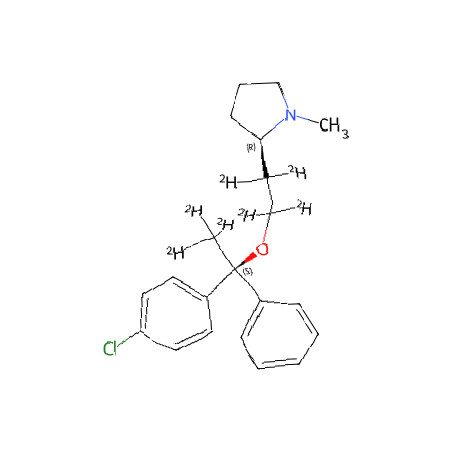 [2H]C([2H])(O[C@@](c1ccccc1)(c1ccc(Cl)cc1)C([2H])([2H])[2H])C([2H])([2H])[C@H]1CCCN1C